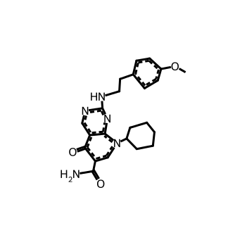 COc1ccc(CCNc2ncc3c(=O)c(C(N)=O)cn(C4CCCCC4)c3n2)cc1